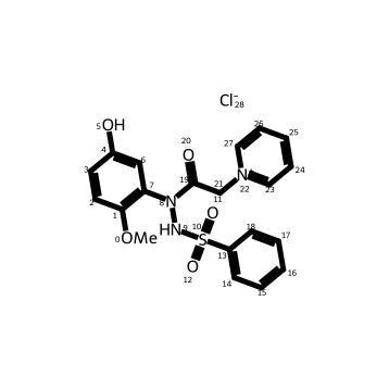 COc1ccc(O)cc1N(NS(=O)(=O)c1ccccc1)C(=O)C[n+]1ccccc1.[Cl-]